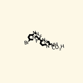 O=C(O)Nc1cn2nc(C(F)(F)c3nnc4ccc(Br)cn34)ccc2n1